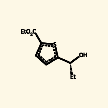 CCOC(=O)c1ccc([C@H](O)CC)s1